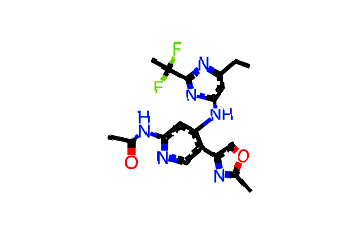 CCc1cc(Nc2cc(NC(C)=O)ncc2-c2coc(C)n2)nc(C(C)(F)F)n1